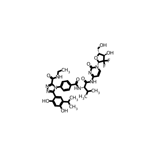 CCNC(=O)c1nnc(-c2cc(C(C)C)c(O)cc2O)n1-c1ccc(C(=O)N[C@H](C(=O)Nc2ccn([C@@H]3O[C@H](CO)[C@@H](O)C3(F)F)c(=O)n2)C(C)C)cc1